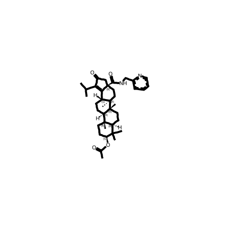 CC(=O)O[C@H]1CC[C@]2(C)[C@H]3CC[C@@H]4C5=C(C(C)C)C(=O)C[C@]5(C(=O)NCc5ccccn5)CC[C@@]4(C)[C@]3(C)CC[C@H]2C1(C)C